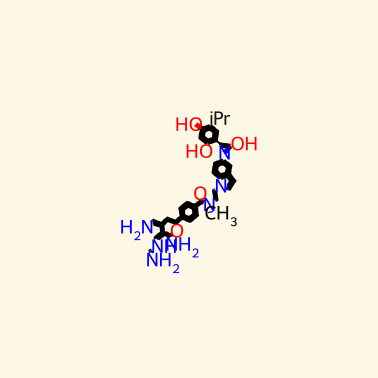 CC(C)c1cc([C@H]2C(O)N2c2ccc3c(ccn3CCN(C)C(=O)c3ccc(CCC(=C/N)/C(=C/NCN)C(N)=O)cc3)c2)c(O)cc1O